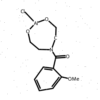 COc1ccccc1C(=O)N1CC[O][Al]([Cl])[O]CC1